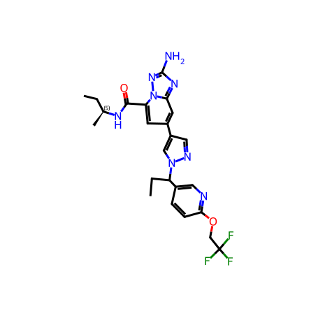 CCC(c1ccc(OCC(F)(F)F)nc1)n1cc(-c2cc(C(=O)N[C@@H](C)CC)n3nc(N)nc3c2)cn1